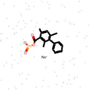 Cc1cc(C)c(-c2ccccc2)c(C)c1C(=O)O[PH](=O)[O-].[Na+]